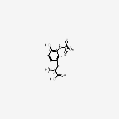 N[C@@H](Cc1ccc(O)c(O[Cl+3]([O-])([O-])[O-])c1)C(=O)O